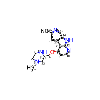 CN1CCN[C@@H](COc2ccnc3[nH]c4cnc(C#N)cc4c23)C1